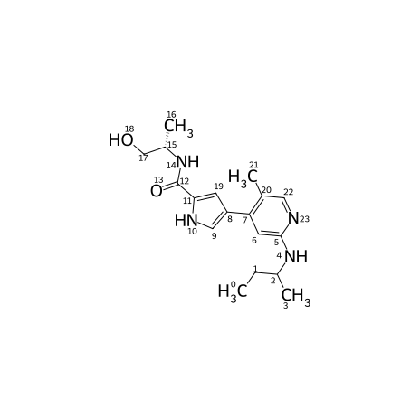 CCC(C)Nc1cc(-c2c[nH]c(C(=O)N[C@@H](C)CO)c2)c(C)cn1